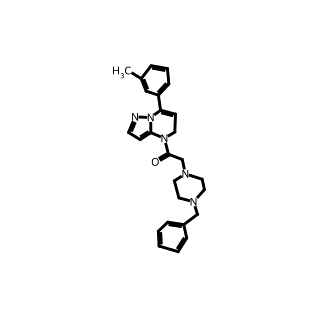 Cc1cccc(C2=CCN(C(=O)CN3CCN(Cc4ccccc4)CC3)c3ccnn32)c1